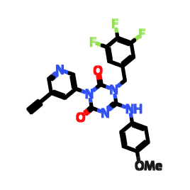 C#Cc1cncc(-n2c(=O)nc(Nc3ccc(OC)cc3)n(Cc3cc(F)c(F)c(F)c3)c2=O)c1